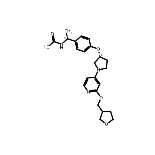 CC(=O)N[C@@H](C)c1ccc(O[C@@H]2CCN(c3ccnc(OCC4CCOC4)c3)C2)cc1